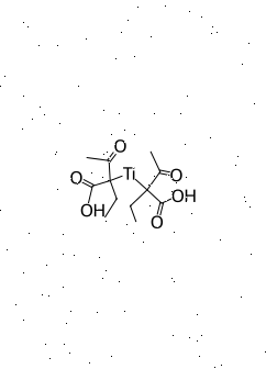 CC[C]([Ti][C](CC)(C(C)=O)C(=O)O)(C(C)=O)C(=O)O